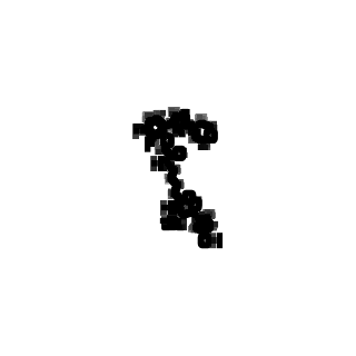 CC(C)(C)[C@H](NC(=O)CCCCNC(=O)COc1c(-c2csc(N3CCOCC3)n2)ccc(F)c1F)C(=O)N1CC[C@@H](O)C1